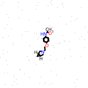 CC(=O)Nc1ccc(OCCN2C[C@H]3C[C@H]3C2)cc1